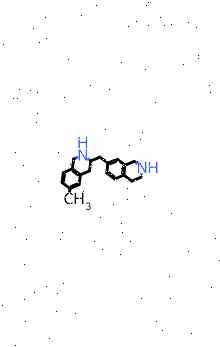 Cc1ccc2c(c1)CC(Cc1ccc3c(c1)CNCC3)NC2